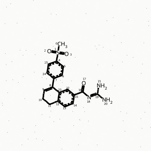 CS(=O)(=O)c1ccc(C2=CCCc3ccc(C(=O)N=C(N)N)cc32)cc1